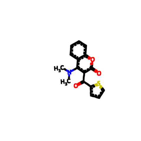 CN(C)c1c(C(=O)c2cccs2)c(=O)oc2ccccc12